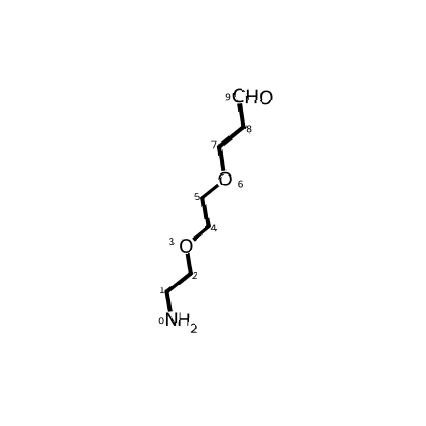 NCCOCCOCCC=O